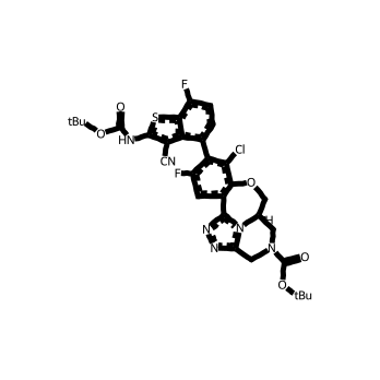 CC(C)(C)OC(=O)Nc1sc2c(F)ccc(-c3c(F)cc4c(c3Cl)OC[C@H]3CN(C(=O)OC(C)(C)C)Cc5nnc-4n53)c2c1C#N